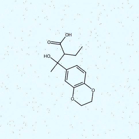 CCC(C(=O)O)C(C)(O)c1ccc2c(c1)OCCO2